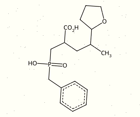 CC(CC(CP(=O)(O)Cc1ccccc1)C(=O)O)C1CCCO1